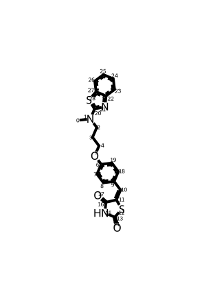 CN(CCCOc1ccc(/C=C2/SC(=O)NC2=O)cc1)c1nc2ccccc2s1